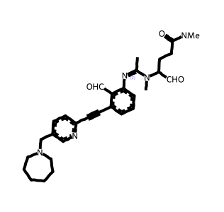 CNC(=O)CCC(C=O)N(C)/C(C)=N\c1cccc(C#Cc2ccc(CN3CCCCCC3)cn2)c1C=O